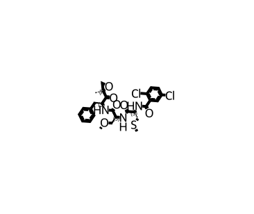 COC[C@H](NC(=O)[C@@H](CSC)NC(=O)c1cc(Cl)ccc1Cl)C(=O)N[C@@H](Cc1ccccc1)C(=O)[C@@]1(C)CO1